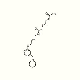 CCCC(=O)OCCSCC(=O)NCC=CCOc1cc(CN2CCCCC2)ccn1